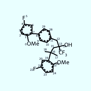 COc1ccc(F)cc1-c1ccc(CC(O)(CC(C)(C)c2cc(F)ccc2OC)C(F)(F)F)cc1